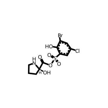 O=C(OS(=O)(=O)c1cc(Cl)cc(Br)c1O)[C@]1(O)CCCN1